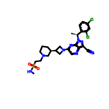 CNS(=O)(=O)CCN1CCC[C@@H](C2CN(c3cnc4c(C#N)nn([C@H](C)c5ccc(Cl)cc5Cl)c4n3)C2)C1